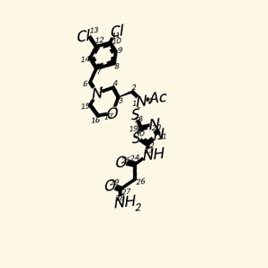 CC(=O)N(C[C@@H]1CN(Cc2ccc(Cl)c(Cl)c2)CCO1)Sc1nnc(NC(=O)CC(N)=O)s1